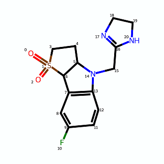 O=S1(=O)CCC2C1c1cc(F)ccc1N2CC1=NCCN1